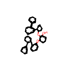 Oc1cccc(Oc2ccccc2-c2ccccc2-c2ccccc2)c1Oc1ccccc1-c1ccccc1-c1ccccc1